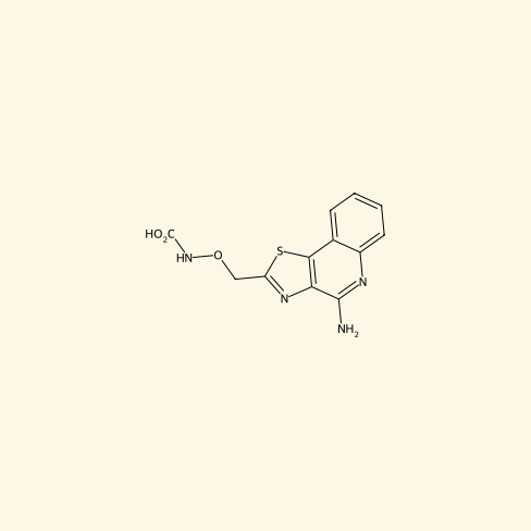 Nc1nc2ccccc2c2sc(CONC(=O)O)nc12